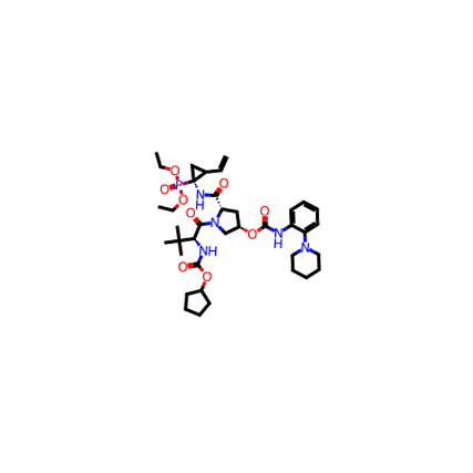 C=CC1C[C@]1(NC(=O)[C@@H]1C[C@@H](OC(=O)Nc2ccccc2N2CCCCC2)CN1C(=O)[C@@H](NC(=O)OC1CCCC1)C(C)(C)C)P(=O)(OCC)OCC